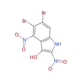 O=[N+]([O-])c1[nH]c2cc(Br)c(Br)c([N+](=O)[O-])c2c1O